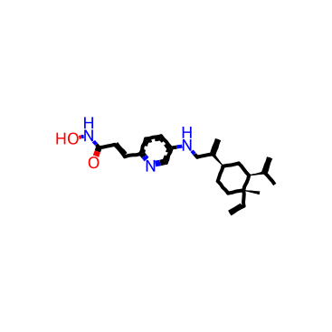 C=C[C@]1(C)CC[C@@H](C(=C)CNc2ccc(/C=C/C(=O)NO)nc2)C[C@H]1C(=C)C